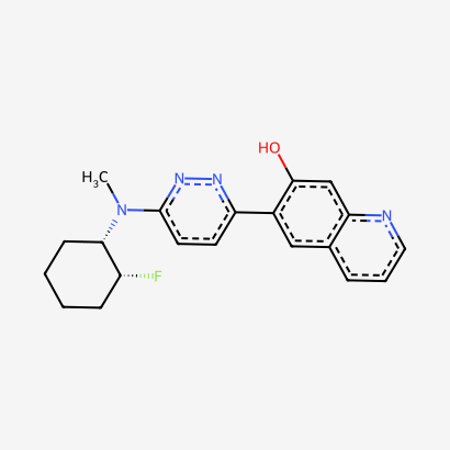 CN(c1ccc(-c2cc3cccnc3cc2O)nn1)[C@H]1CCCC[C@H]1F